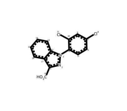 O=C(O)c1nn(-c2ccc(Cl)cc2Cl)c2ccccc12